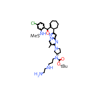 CSNc1cc(Cl)ccc1C(=O)C1=CCCCCC1c1cc2nc(N3CC[C@H](N(CCCNCCN)C(=O)OC(C)(C)C)C3)c(C)cn2n1